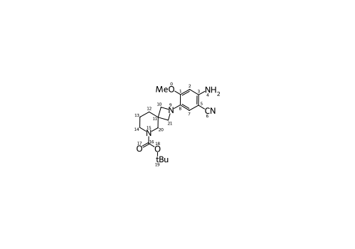 COc1cc(N)c(C#N)cc1N1CC2(CCCN(C(=O)OC(C)(C)C)C2)C1